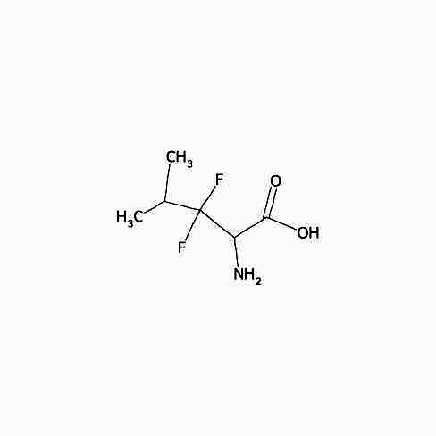 CC(C)C(F)(F)C(N)C(=O)O